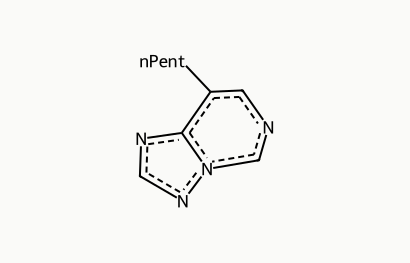 CCCCCc1cncn2ncnc12